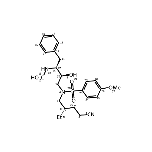 CC[C@@H](CCC#N)CN(C[C@H](O)[C@H](Cc1ccccc1)NC(=O)O)S(=O)(=O)c1ccc(OC)cc1